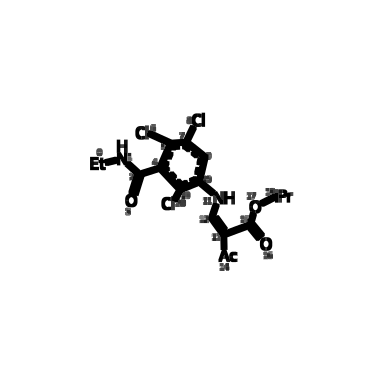 CCNC(=O)c1c(Cl)c(Cl)cc(NC=C(C(C)=O)C(=O)OC(C)C)c1Cl